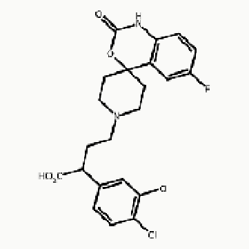 O=C1Nc2ccc(F)cc2C2(CCN(CCC(C(=O)O)c3ccc(Cl)c(Cl)c3)CC2)O1